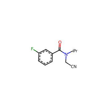 CC(C)N(CC#N)C(=O)c1cccc(F)c1